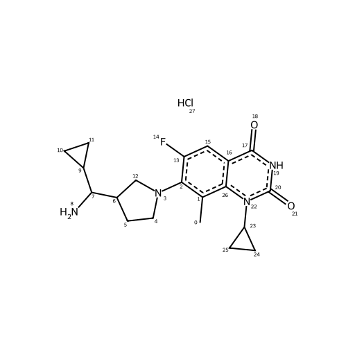 Cc1c(N2CCC(C(N)C3CC3)C2)c(F)cc2c(=O)[nH]c(=O)n(C3CC3)c12.Cl